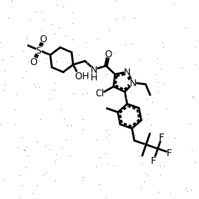 CCn1nc(C(=O)NCC2(O)CCC(S(C)(=O)=O)CC2)c(Cl)c1-c1ccc(CC(C)(C)C(F)(F)F)cc1C